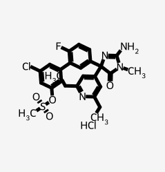 CCc1cc(C2(c3ccc(F)c(-c4cc(Cl)cc(OS(C)(=O)=O)c4)c3)N=C(N)N(C)C2=O)cc(CC)n1.Cl